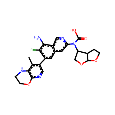 Cc1c(-c2cc3cc(N(C(=O)O)C4COC5OCCC54)ncc3c(N)c2F)cnc2c1NCCO2